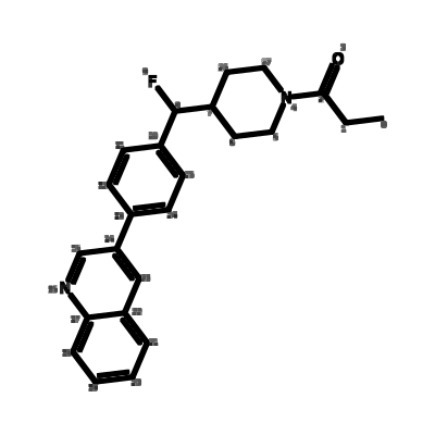 CCC(=O)N1CCC(C(F)c2ccc(-c3cnc4ccccc4c3)cc2)CC1